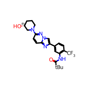 CC(C)(C)C(=O)Nc1cc(-c2cn3nc(N4CCC[C@@H](O)C4)ccc3n2)ccc1C(F)(F)F